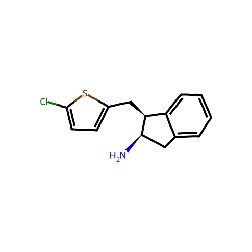 N[C@@H]1Cc2ccccc2[C@@H]1Cc1ccc(Cl)s1